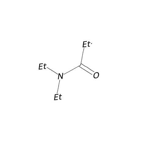 C[CH]C(=O)N(CC)CC